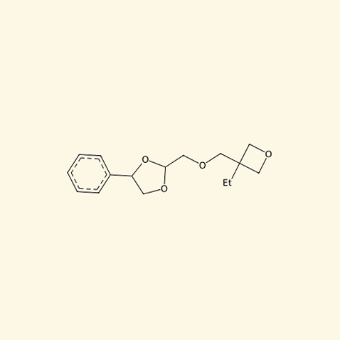 CCC1(COCC2OCC(c3ccccc3)O2)COC1